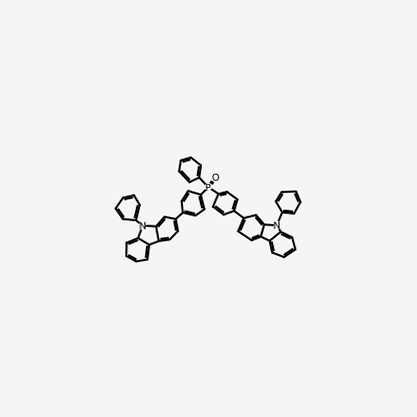 O=P(c1ccccc1)(c1ccc(-c2ccc3c4ccccc4n(-c4ccccc4)c3c2)cc1)c1ccc(-c2ccc3c4ccccc4n(-c4ccccc4)c3c2)cc1